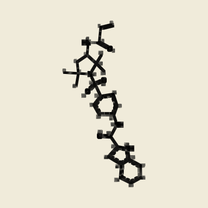 C=CC(=O)NC1CC(C)(C)N(S(=O)(=O)c2ccc(NC(=O)c3cc4ccccc4[nH]3)cc2)C1(C)C